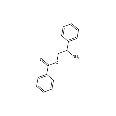 NC(COC(=O)c1ccccc1)c1ccccc1